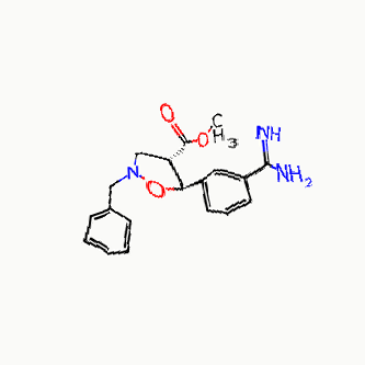 COC(=O)[C@H]1CN(Cc2ccccc2)O[C@@H]1c1cccc(C(=N)N)c1